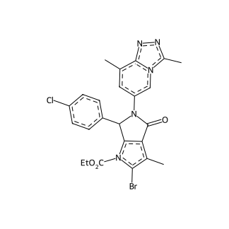 CCOC(=O)n1c(Br)c(C)c2c1C(c1ccc(Cl)cc1)N(c1cc(C)c3nnc(C)n3c1)C2=O